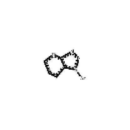 CC(=O)n1nnc2ncccc21